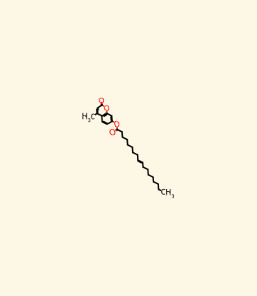 CCCCCCCC/C=C/CCCCCCCC(=O)Oc1ccc2c(C)cc(=O)oc2c1